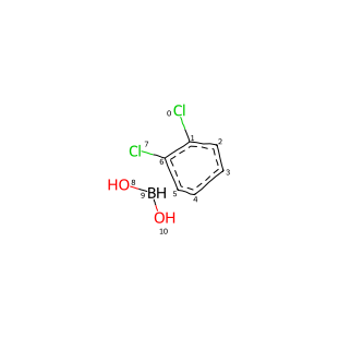 Clc1ccccc1Cl.OBO